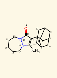 Cc1c(C23CC4CC(CC(C4)C2)C3)c(=O)n2n1CCCCC2